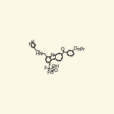 CCCOc1cccc(C(=O)c2cccc3c4cccc(CNCCc5cnn(C)c5)c4nc-3c2)c1.O=S(=O)(O)C(F)(F)F